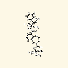 CC(C)(C)OC(=O)N1CCOc2c(cccc2C(=O)NC(C)(C)c2n[nH]c3c(F)cccc23)C1